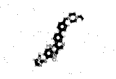 CCN1CCN(Cc2ccc(-c3ccc4c(Nc5ccc(Sc6nccn6C)c(Cl)c5)c(C#N)cnc4c3)cc2)CC1